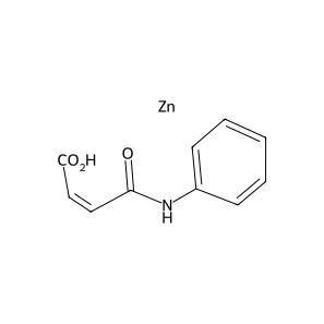 O=C(O)/C=C\C(=O)Nc1ccccc1.[Zn]